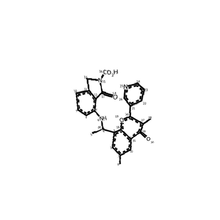 Cc1cc([C@@H](C)Nc2cccc3c2C(=O)N(C(=O)O)C3)c2oc(-c3cccnc3)c(C)c(=O)c2c1